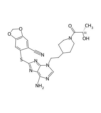 C[C@H](O)C(=O)N1CCC(CCn2cnc(N)c3nc(Sc4cc5c(cc4C#N)OCO5)nc2-3)CC1